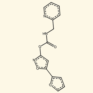 O=C(NCc1ccccn1)Oc1cc(-c2ccco2)on1